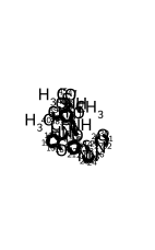 COc1c(NC(=O)NCc2ccccc2Oc2ccc3c(c2)N2C=CN(CN4CCOCC4)C2S3)cc(C(C)(C)C)cc1NS(C)(=O)=O